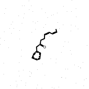 C/C=C\C=C/CCC(=O)Cc1ccccc1